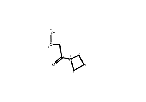 CC(C)OCC(=O)N1CCC1